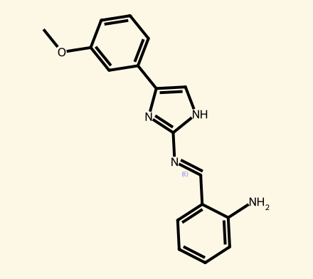 COc1cccc(-c2c[nH]c(/N=C/c3ccccc3N)n2)c1